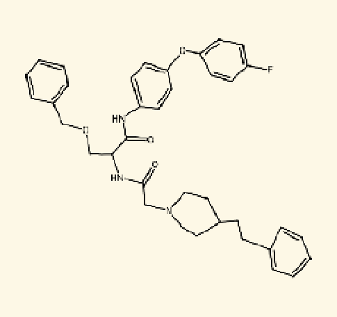 O=C(CN1CCC(CCc2ccccc2)CC1)NC(COCc1ccccc1)C(=O)Nc1ccc(Oc2ccc(F)cc2)cc1